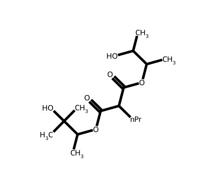 CCCC(C(=O)OC(C)C(C)O)C(=O)OC(C)C(C)(C)O